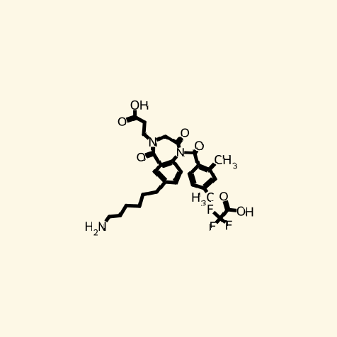 Cc1ccc(C(=O)N2C(=O)CN(CCC(=O)O)C(=O)c3cc(CCCCCCN)ccc32)c(C)c1.O=C(O)C(F)(F)F